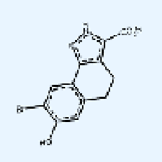 O=C(O)c1[nH]nc2c1CCc1cc(O)c(Br)cc1-2